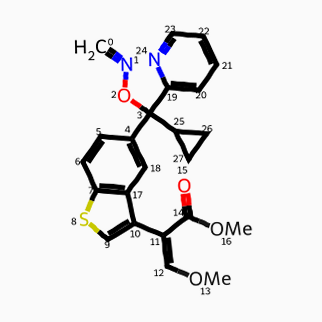 C=NOC(c1ccc2scc(C(=COC)C(=O)OC)c2c1)(c1ccccn1)C1CC1